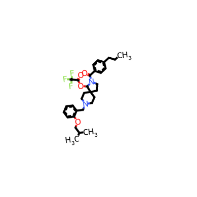 CCCc1ccc(C(=O)N2CCC3(CCN(Cc4ccccc4OCC(C)C)CC3)C2OC(=O)C(F)(F)F)cc1